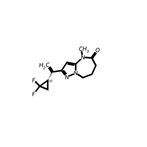 C=C(c1cc2n(n1)CCCC(=O)N2C)[C@@H]1CC1(F)F